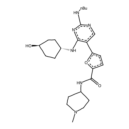 CCCCNc1ncc(-c2ccc(C(=O)NC3CCN(C)CC3)o2)c(N[C@H]2CC[C@H](O)CC2)n1